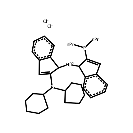 CCCP(CCC)C1=Cc2ccccc2[CH]1[Hf+2][CH]1C(P(C2CCCCC2)C2CCCCC2)=Cc2ccccc21.[Cl-].[Cl-]